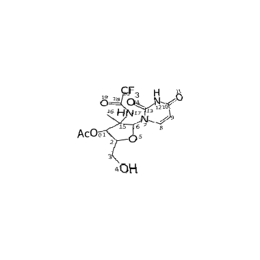 CC(=O)OC1C(CO)OC(n2ccc(=O)[nH]c2=O)C1(C)NC(=O)C(F)(F)F